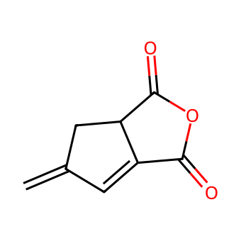 C=C1C=C2C(=O)OC(=O)C2C1